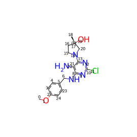 COc1ccc(CNc2nc(Cl)nc(N3CC[C@](C)(O)C3)c2N)cc1